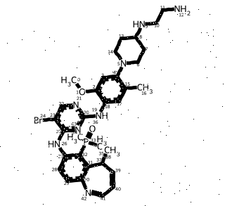 COc1cc(N2CCC(NCCN)CC2)c(C)cc1Nc1ncc(Br)c(Nc2ccc3c(c2P(C)(C)=O)C(C)C=CC=N3)n1